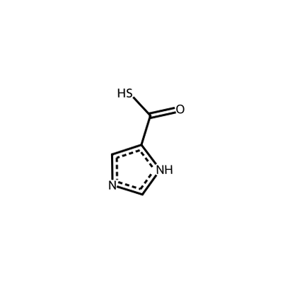 O=C(S)c1cnc[nH]1